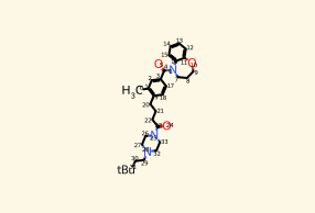 Cc1cc(C(=O)N2CCCOc3ccccc32)ccc1CCCC(=O)N1CCN(CCC(C)(C)C)CC1